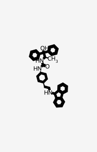 C[C@@H](NC(=O)N[C@H]1CC[C@H](CCNC2c3ccccc3-c3ccccc32)CC1)C(O)(c1ccccc1)c1ccccc1